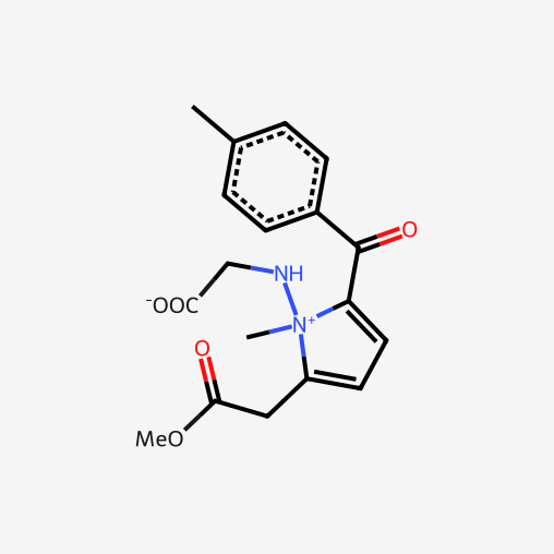 COC(=O)CC1=CC=C(C(=O)c2ccc(C)cc2)[N+]1(C)NCC(=O)[O-]